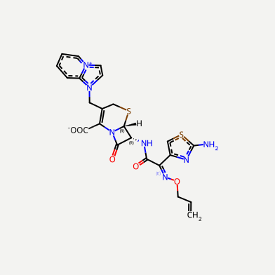 C=CCO/N=C(/C(=O)N[C@@H]1C(=O)N2C(C(=O)[O-])=C(Cn3cc[n+]4ccccc34)CS[C@H]12)c1csc(N)n1